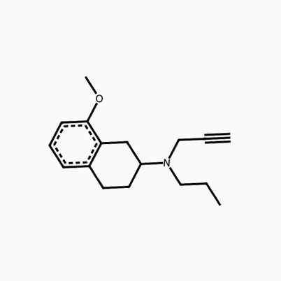 C#CCN(CCC)C1CCc2cccc(OC)c2C1